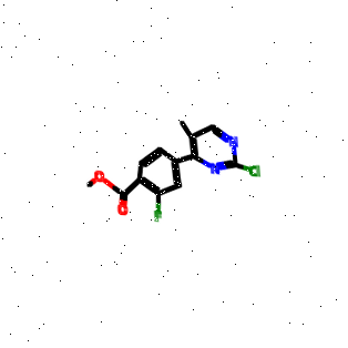 COC(=O)c1ccc(-c2nc(Cl)ncc2C)cc1F